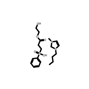 CCCCN1C=CN(C)C1.O=C(CCP(=O)(O)c1ccccc1)OCCO